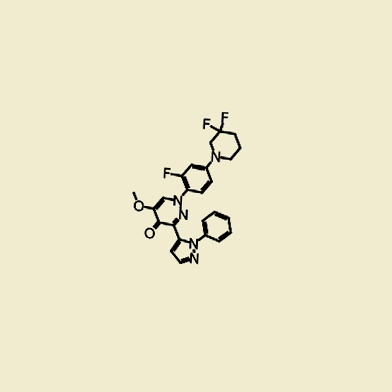 COc1cn(-c2ccc(N3CCCC(F)(F)C3)cc2F)nc(-c2ccnn2-c2ccccc2)c1=O